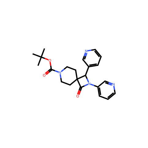 CC(C)(C)OC(=O)N1CCC2(CC1)C(=O)N(c1cccnc1)C2c1cccnc1